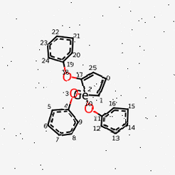 C1=[CH][Ge]([O]c2ccccc2)([O]c2ccccc2)[C](Oc2ccccc2)=C1